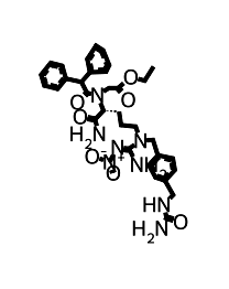 CCOC(=O)CN(C(=O)C(c1ccccc1)c1ccccc1)[C@H](CCCN(Cc1ccc(CNC(N)=O)cc1)C(N)=N[N+](=O)[O-])C(N)=O